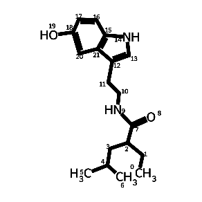 CCC(CC(C)C)C(=O)NCCc1c[nH]c2ccc(O)cc12